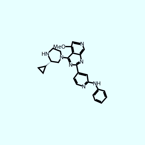 COc1cncc2nc(-c3ccnc(Nc4ccccc4)c3)nc(N3CCN[C@@H](C4CC4)C3)c12